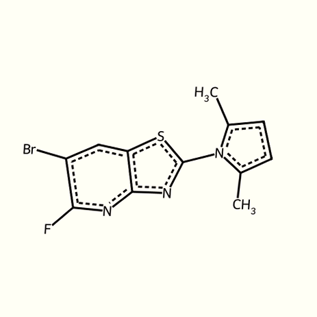 Cc1ccc(C)n1-c1nc2nc(F)c(Br)cc2s1